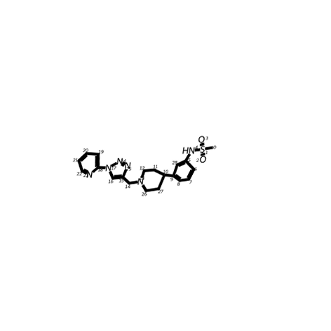 CS(=O)(=O)Nc1cccc(C2CCN(Cc3cn(-c4ccccn4)nn3)CC2)c1